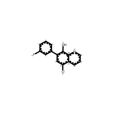 Oc1c(-c2cccc(F)c2)cc(Cl)c2cccnc12